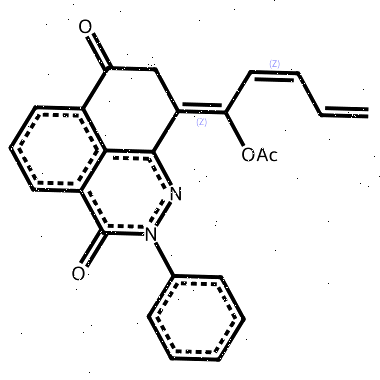 C=C/C=C\C(OC(C)=O)=C1/CC(=O)c2cccc3c(=O)n(-c4ccccc4)nc1c23